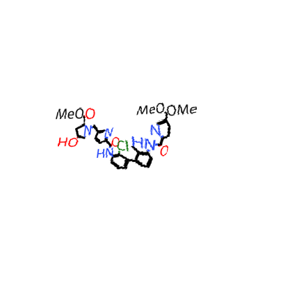 COC(=O)[C@@H]1C[C@@H](O)CN1Cc1ccc(C(=O)Nc2cccc(-c3cccc(NC(=O)c4ccc(C(OC)OC)cn4)c3C)c2Cl)nc1